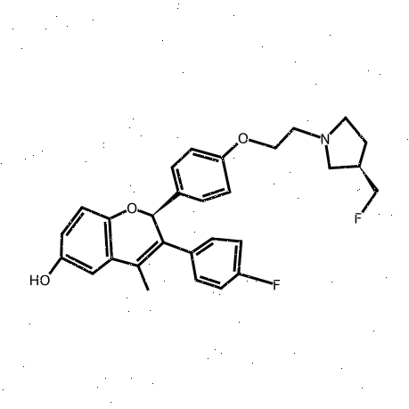 CC1=C(c2ccc(F)cc2)[C@H](c2ccc(OCCN3CC[C@@H](CF)C3)cc2)Oc2ccc(O)cc21